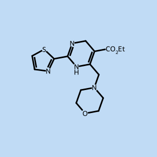 CCOC(=O)C1=C(CN2CCOCC2)NC(c2nccs2)=NC1